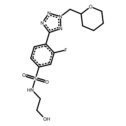 O=S(=O)(NCCO)c1ccc(-c2nnn(CC3CCCCO3)n2)c(F)c1